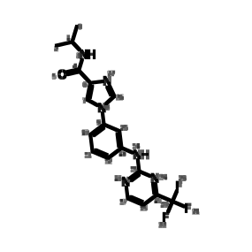 CC(C)NC(=O)c1cn(-c2cccc(Nc3nccc(C(F)(F)F)n3)c2)cn1